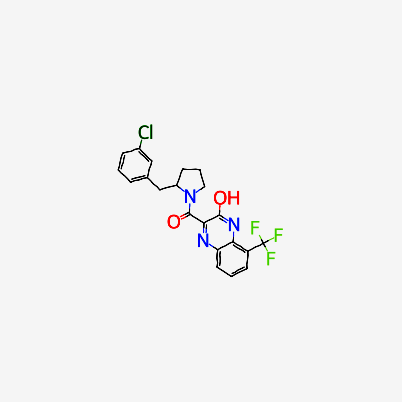 O=C(c1nc2cccc(C(F)(F)F)c2nc1O)N1CCCC1Cc1cccc(Cl)c1